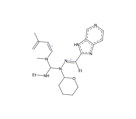 C=C(C)/C=C\N(C)C(NCC)N(/N=C(\CC)c1nc2ccncc2[nH]1)C1CCCCO1